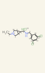 CCN1CC2C(CNCc3cc(Cl)cc(Cl)c3)C2C1.Cl